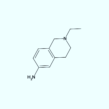 CCN1CCc2cc(N)ccc2C1